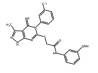 COc1cccc(NC(=O)CSc2nc3[nH]nc(C)c3c(=N)n2-c2cccc(C)c2)c1